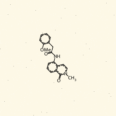 COc1ccccc1CC(=O)Nc1cccc2c(=O)n(C)ccc12